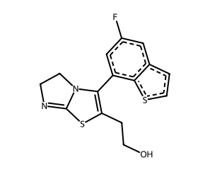 OCCC1=C(c2cc(F)cc3ccsc23)N2CCN=C2S1